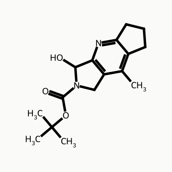 Cc1c2c(nc3c1CN(C(=O)OC(C)(C)C)C3O)CCC2